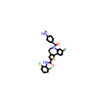 CNc1ccc(C(=O)N2CCc3cc(C(=O)Nc4c(F)cccc4F)sc3-c3ccc(F)cc32)cc1